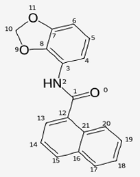 O=C(Nc1cccc2c1OCO2)c1cccc2ccccc12